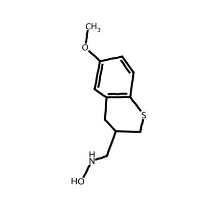 COc1ccc2c(c1)CC(CNO)CS2